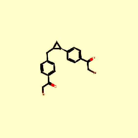 O=C(CBr)c1ccc(CC2C[C@H]2c2ccc(C(=O)CBr)cc2)cc1